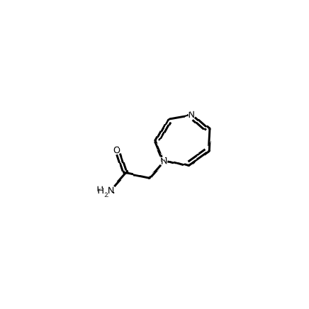 NC(=O)CN1C=CC=NC=C1